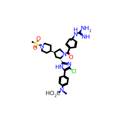 CN(C(=O)O)c1ccc(-c2[nH]c([C@@H]3C[C@@H](C4CCN(S(C)(=O)=O)CC4)CN3C(=O)c3ccc(NC(=N)N)cc3)nc2Cl)cc1